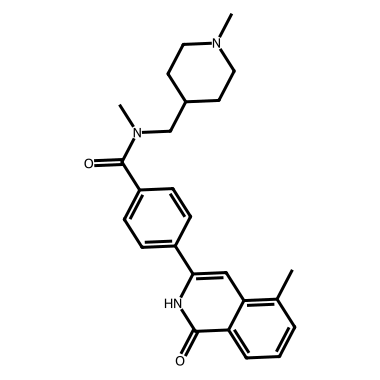 Cc1cccc2c(=O)[nH]c(-c3ccc(C(=O)N(C)CC4CCN(C)CC4)cc3)cc12